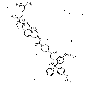 COc1ccc(C(OCCC(O)C2CCN(C(=O)O[C@@H]3CC[C@]4(C)C(=CCC5C4CC[C@]4(C)C5CC[C@H]4[C@@H](C)CCCC(C)C)C3)CC2)(c2ccccc2)c2ccc(OC)cc2)cc1